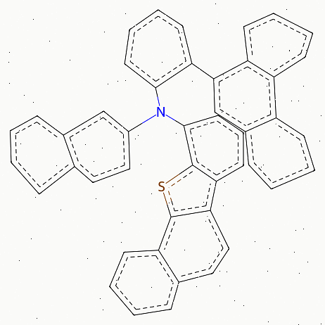 c1ccc(N(c2ccc3ccccc3c2)c2cccc3c2sc2c4ccccc4ccc32)c(-c2cc3ccccc3c3ccccc23)c1